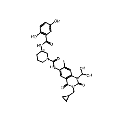 O=C(N[C@@H]1CCCN(C(=O)Nc2cc3c(=O)n(CC4CC4)c(=O)n(C(O)O)c3cc2F)C1)c1cc(O)ccc1O